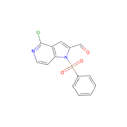 O=Cc1cc2c(Cl)nccc2n1S(=O)(=O)c1ccccc1